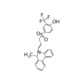 CC1c2ccccc2-c2ccccc2N1C=CCS(=O)(=O)c1ccc(O)c(C(F)(F)F)c1